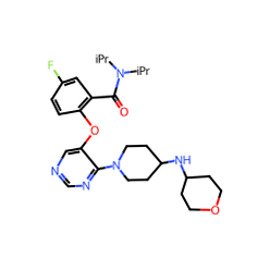 CC(C)N(C(=O)c1cc(F)ccc1Oc1cncnc1N1CCC(NC2CCOCC2)CC1)C(C)C